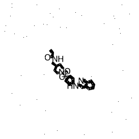 C=CC(=O)NCC1CCN(S(=O)(=O)c2ccc(Nc3cc4ccccc4cn3)cc2)CC1